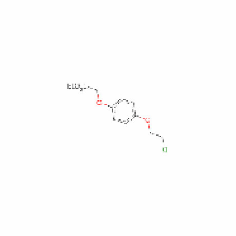 CCOC(=O)COc1ccc(OCCCl)cc1